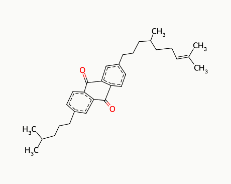 CC(C)=CCCC(C)CCCc1ccc2c(c1)C(=O)c1ccc(CCCC(C)C)cc1C2=O